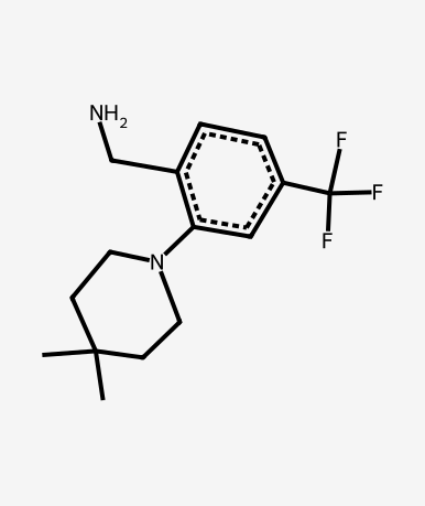 CC1(C)CCN(c2cc(C(F)(F)F)ccc2CN)CC1